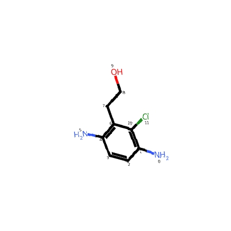 Nc1ccc(N)c(CCO)c1Cl